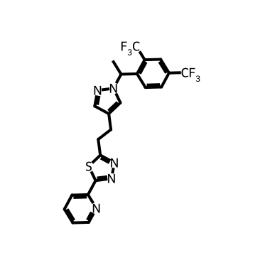 CC(c1ccc(C(F)(F)F)cc1C(F)(F)F)n1cc(CCc2nnc(-c3ccccn3)s2)cn1